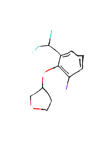 FC(F)c1cccc(I)c1OC1CCOC1